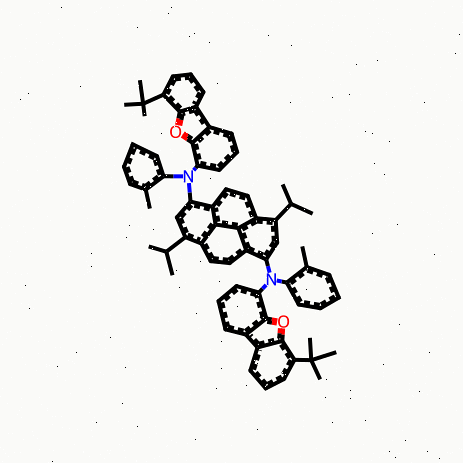 Cc1ccccc1N(c1cc(C(C)C)c2ccc3c(N(c4ccccc4C)c4cccc5c4oc4c(C(C)(C)C)cccc45)cc(C(C)C)c4ccc1c2c43)c1cccc2c1oc1c(C(C)(C)C)cccc12